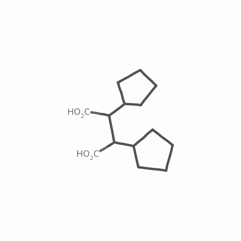 O=C(O)C(C1CCCC1)C(C(=O)O)C1CCCC1